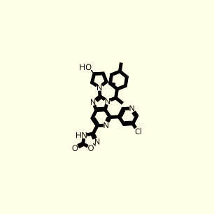 CC1CCC(C(C)n2c(N3C[C@H](O)C[C@H]3C)nc3cc(-c4noc(=O)[nH]4)nc(-c4cncc(Cl)c4)c32)CC1